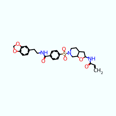 C=CC(=O)NC1CC2CCN(S(=O)(=O)c3ccc(C(=O)NCCc4ccc5c(c4)OCO5)cc3)CC2O1